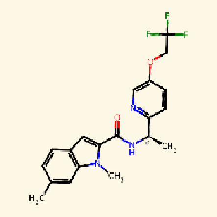 Cc1ccc2cc(C(=O)N[C@H](C)c3ccc(OCC(F)(F)F)cn3)n(C)c2c1